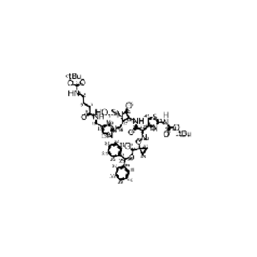 CC(C)(C)OC(=O)NCCCC(=O)NCc1cnn(C[C@@H]2[C@H](NC(=O)C(=NOC3(C(=O)OC(c4ccccc4)c4ccccc4)CC3)c3csc(NC(=O)OC(C)(C)C)n3)C(=O)N2S(=O)(=O)O)n1